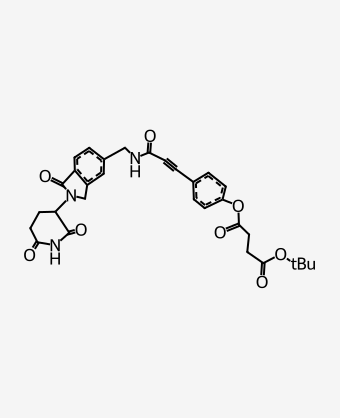 CC(C)(C)OC(=O)CCC(=O)Oc1ccc(C#CC(=O)NCc2ccc3c(c2)CN(C2CCC(=O)NC2=O)C3=O)cc1